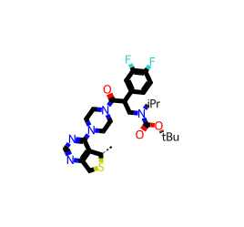 CC(C)N(CC(C(=O)N1CCN(c2ncnc3c2[C@H](C)SC3)CC1)c1ccc(F)c(F)c1)C(=O)OC(C)(C)C